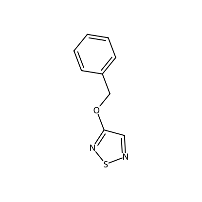 c1ccc(COc2cnsn2)cc1